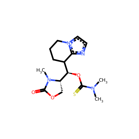 CN(C)C(=S)O[C@H](C1CCCn2ccnc21)[C@@H]1COC(=O)N1C